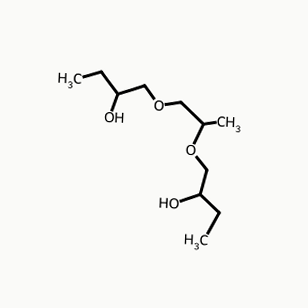 CCC(O)COCC(C)OCC(O)CC